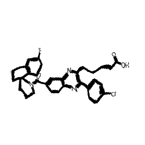 O=C(O)CCCCc1nc2cc(C(=O)N3CCCC34CCc3cc(F)ccc34)ccc2nc1-c1ccc(Cl)cc1